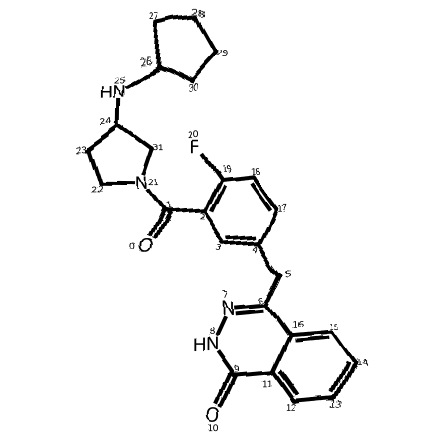 O=C(c1cc(Cc2n[nH]c(=O)c3ccccc23)ccc1F)N1CCC(NC2CCCC2)C1